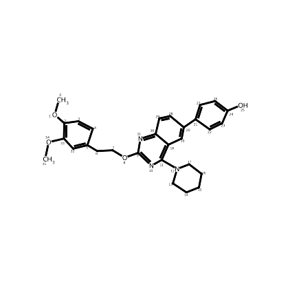 COc1ccc(CCOc2nc(N3CCCCC3)c3cc(-c4ccc(O)cc4)ccc3n2)cc1OC